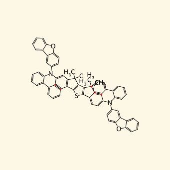 CC1(C)c2cc(N(c3ccc4oc5ccccc5c4c3)c3ccccc3-c3ccccc3)ccc2-c2sc3c(c21)C(C)(C)c1cc(N(c2ccc4oc5ccccc5c4c2)c2ccccc2-c2ccccc2)ccc1-3